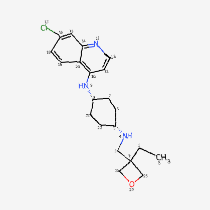 CCC1(CN[C@H]2CC[C@@H](Nc3ccnc4cc(Cl)ccc34)CC2)COC1